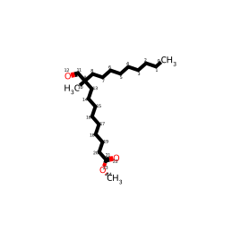 CCCCCCCCCC(C)(C=O)CCCCCCCCC(=O)OC